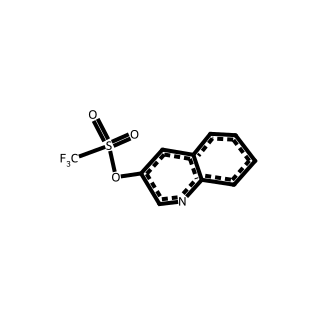 O=S(=O)(Oc1cnc2ccccc2c1)C(F)(F)F